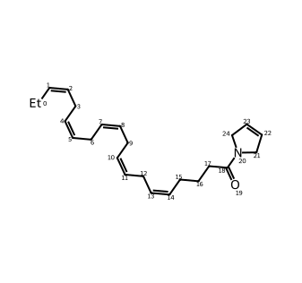 CC/C=C\C/C=C\C/C=C\C/C=C\C/C=C\CCCC(=O)N1CC=CC1